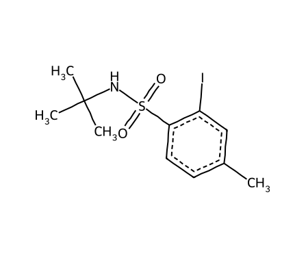 Cc1ccc(S(=O)(=O)NC(C)(C)C)c(I)c1